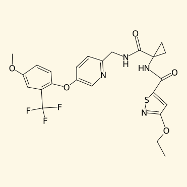 CCOc1cc(C(=O)NC2(C(=O)NCc3ccc(Oc4ccc(OC)cc4C(F)(F)F)cn3)CC2)sn1